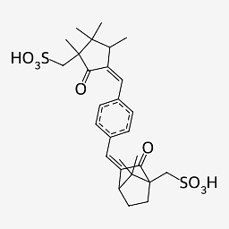 CC1/C(=C/c2ccc(/C=C3\C(=O)C4(CS(=O)(=O)O)CCC3C4(C)C)cc2)C(=O)C(C)(CS(=O)(=O)O)C1(C)C